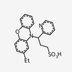 CCc1ccc2c(c1)N(C(CCS(=O)(=O)O)c1ccccn1)c1ccccc1O2